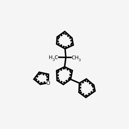 CC(C)(c1ccccc1)c1cccc(-c2ccccc2)c1.c1ccoc1